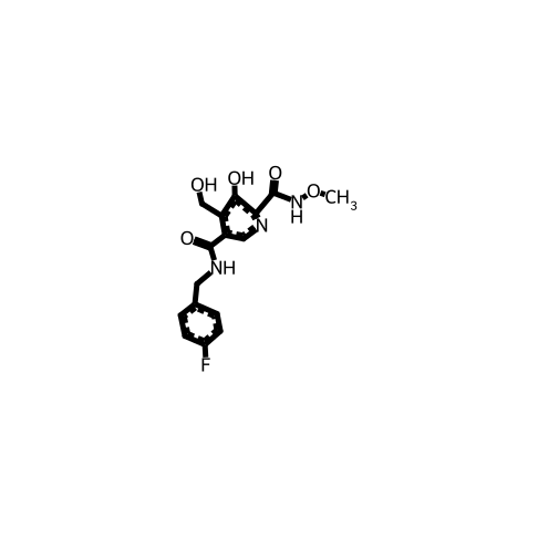 CONC(=O)c1ncc(C(=O)NCc2ccc(F)cc2)c(CO)c1O